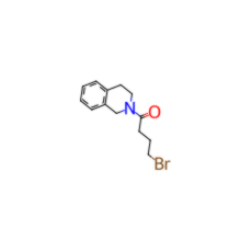 O=C(CCCBr)N1CCc2ccccc2C1